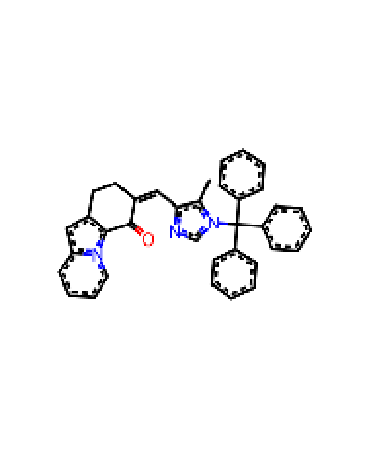 Cc1c(C=C2CCc3cc4ccccn4c3C2=O)ncn1C(c1ccccc1)(c1ccccc1)c1ccccc1